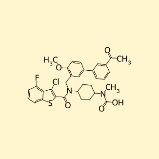 COc1ccc(-c2cccc(C(C)=O)c2)cc1CN(C(=O)c1sc2cccc(F)c2c1Cl)C1CCC(N(C)C(=O)O)CC1